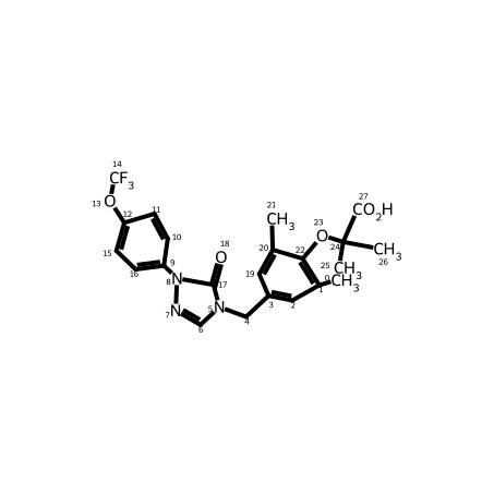 Cc1cc(Cn2cnn(-c3ccc(OC(F)(F)F)cc3)c2=O)cc(C)c1OC(C)(C)C(=O)O